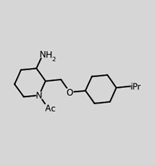 CC(=O)N1CCCC(N)C1COC1CCC(C(C)C)CC1